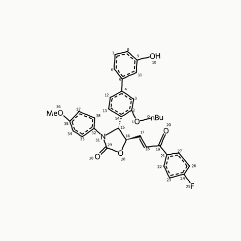 CCCCOc1cc(-c2cccc(O)c2)ccc1[C@@H]1[C@@H](/C=C/C(=O)c2ccc(F)cc2)OC(=O)N1c1ccc(OC)cc1